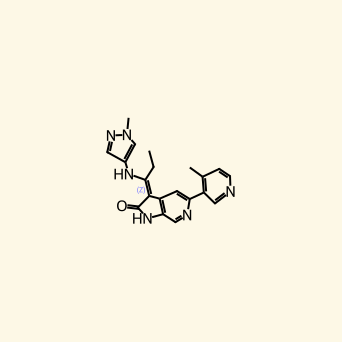 CC/C(Nc1cnn(C)c1)=C1/C(=O)Nc2cnc(-c3cnccc3C)cc21